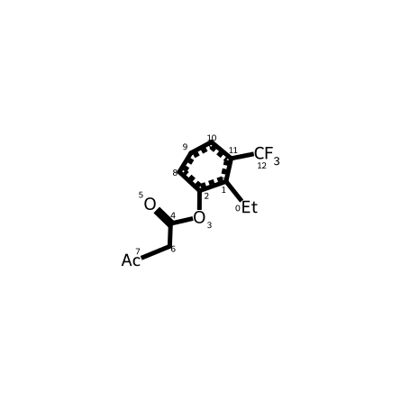 CCc1c(OC(=O)CC(C)=O)cccc1C(F)(F)F